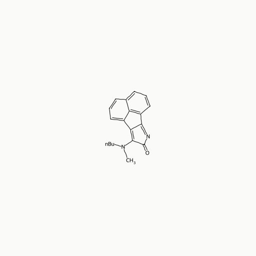 CCCCN(C)C1=C2C(=NC1=O)c1cccc3cccc2c13